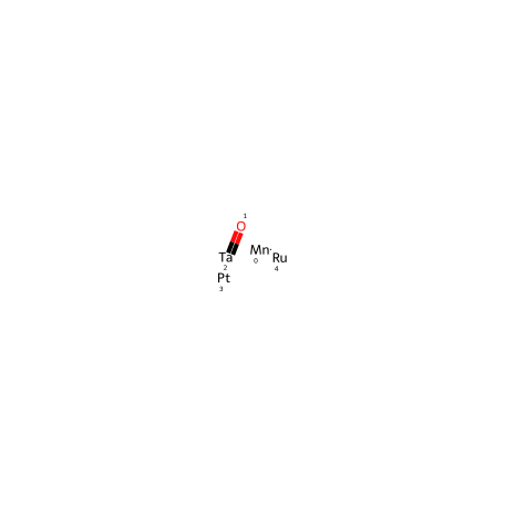 [Mn].[O]=[Ta].[Pt].[Ru]